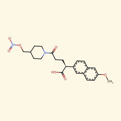 COc1ccc2cc([C@H](CCC(=O)N3CCC(CO[N+](=O)[O-])CC3)C(=O)O)ccc2c1